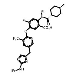 CC(C)Nc1nc(Cc2cnc(Oc3cc(C(=O)O)c(N(C(=O)[C@H]4CC[C@H](C)CC4)C(C)C)cc3F)c(C(F)(F)F)c2)cs1